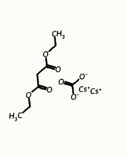 CCOC(=O)CC(=O)OCC.O=C([O-])[O-].[Cs+].[Cs+]